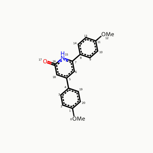 COc1ccc(-c2cc(-c3ccc(OC)cc3)[nH]c(=O)c2)cc1